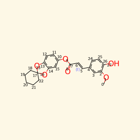 COc1cc(/C=C/C(=O)Oc2ccc3c(c2)OC2(CCCCC2)O3)ccc1O